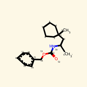 [CH2]C(CC1(C)CCCCC1)NC(=O)OCc1ccccc1